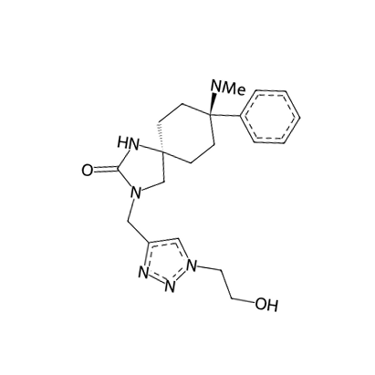 CN[C@]1(c2ccccc2)CC[C@]2(CC1)CN(Cc1cn(CCO)nn1)C(=O)N2